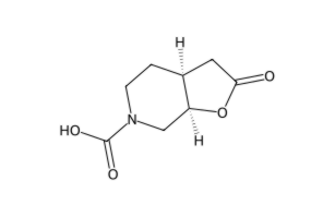 O=C1C[C@@H]2CCN(C(=O)O)C[C@@H]2O1